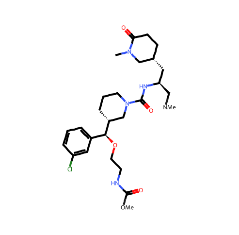 CNC[C@H](C[C@H]1CCC(=O)N(C)C1)NC(=O)N1CCC[C@@H]([C@@H](OCCNC(=O)OC)c2cccc(Cl)c2)C1